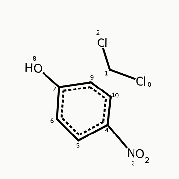 ClCCl.O=[N+]([O-])c1ccc(O)cc1